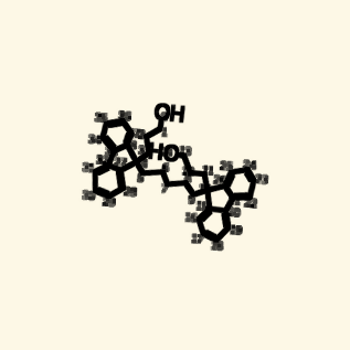 OCCCC1(CCCCCC2(CCCO)c3ccccc3-c3ccccc32)c2ccccc2-c2ccccc21